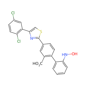 O=C(O)c1cc(-c2nc(-c3cc(Cl)ccc3Cl)cs2)ccc1-c1ccccc1NO